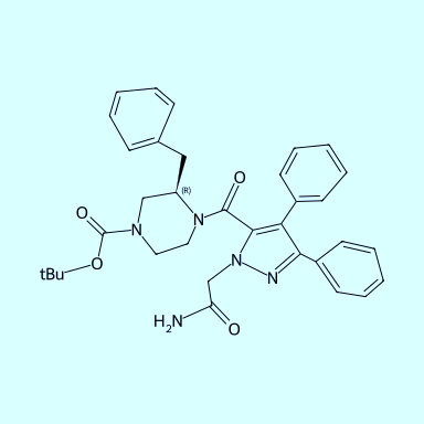 CC(C)(C)OC(=O)N1CCN(C(=O)c2c(-c3ccccc3)c(-c3ccccc3)nn2CC(N)=O)[C@H](Cc2ccccc2)C1